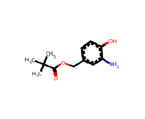 CC(C)(C)C(=O)OCc1ccc(O)c(N)c1